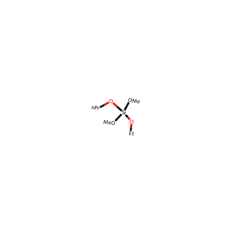 CCCO[Si](OC)(OC)OCC